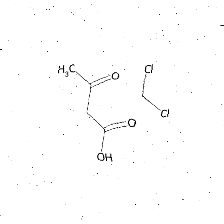 CC(=O)CC(=O)O.ClCCl